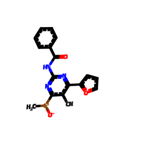 C[S+]([O-])c1nc(NC(=O)c2ccccc2)nc(-c2ccco2)c1C#N